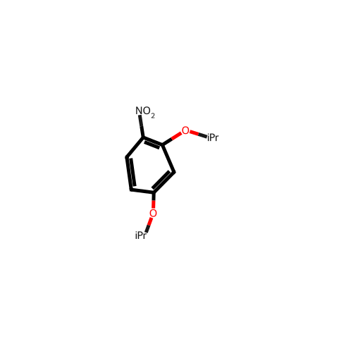 CC(C)Oc1ccc([N+](=O)[O-])c(OC(C)C)c1